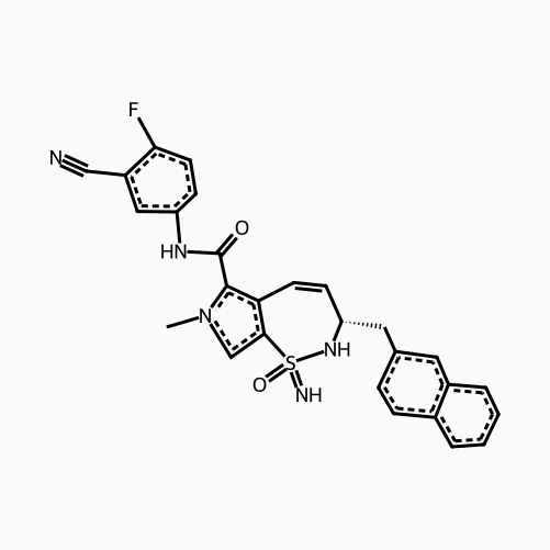 Cn1cc2c(c1C(=O)Nc1ccc(F)c(C#N)c1)C=C[C@H](Cc1ccc3ccccc3c1)NS2(=N)=O